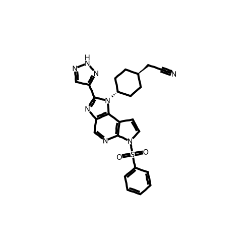 N#CC[C@H]1CC[C@H](n2c(-c3cn[nH]n3)nc3cnc4c(ccn4S(=O)(=O)c4ccccc4)c32)CC1